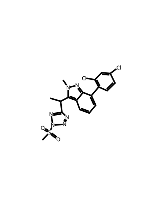 CC(c1nnn(S(C)(=O)=O)n1)c1c2cccc(-c3ccc(Cl)cc3Cl)c2nn1C